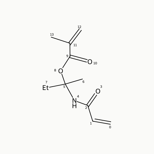 C=CC(=O)NC(C)(CC)OC(=O)C(=C)C